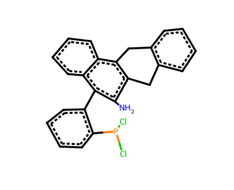 Nc1c2c(c3ccccc3c1-c1ccccc1P(Cl)Cl)Cc1ccccc1C2